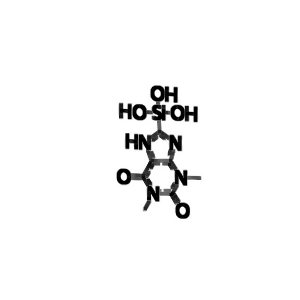 Cn1c(=O)c2[nH]c([Si](O)(O)O)nc2n(C)c1=O